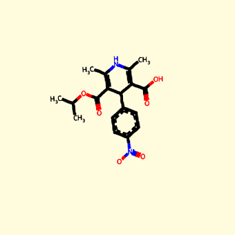 CC1=C(C(=O)O)C(c2ccc([N+](=O)[O-])cc2)C(C(=O)OC(C)C)=C(C)N1